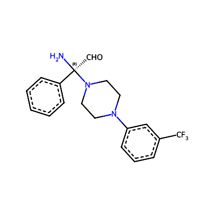 N[C@](C=O)(c1ccccc1)N1CCN(c2cccc(C(F)(F)F)c2)CC1